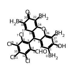 Bc1cc2c(-c3c(Cl)c(Cl)c(Cl)c(Cl)c3C=O)c3cc(B)c(=O)c(B)c-3oc2c(B)c1O